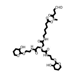 CN(OC(=O)CCCCCNC(=O)CN(CC(=O)NCCOC1OCCCC1O)CC(=O)NCCOC1OCCCC1O)C(=O)CCC=O